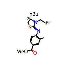 CCCC[C@H]1CSC(=Nc2ccc(C(=O)OC)cc2C)N1CC(C)C